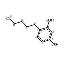 Oc1cc(S)ccc1CCCCCl